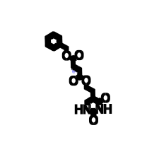 O=C(/C=C/C(=O)OCc1ccccc1)OCCc1c[nH]c(=O)[nH]c1=O